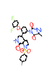 CC1=NC(=O)N(c2ccc(Oc3ccc(F)cc3F)c(-c3cn(C)c(=O)c4c3ccn4S(=O)(=O)c3ccc(C)cc3)c2)C1=O